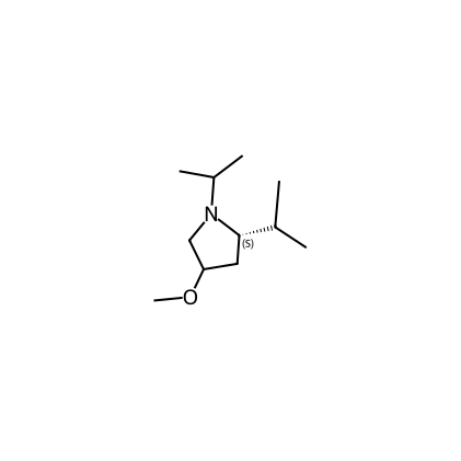 COC1C[C@@H](C(C)C)N(C(C)C)C1